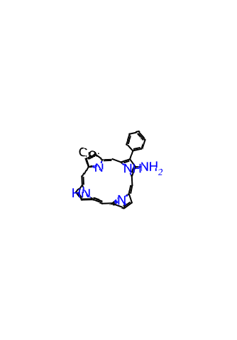 Nc1c(-c2ccccc2)c2cc3nc(cc4ccc(cc5nc(cc1[nH]2)C=C5)[nH]4)C=C3.[Co]